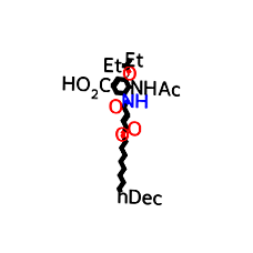 CCCCCCCCCCCCCCCCCCOC(=O)/C=C/C(=O)N[C@@H]1CC(C(=O)O)=C[C@H](OC(CC)CC)[C@H]1NC(C)=O